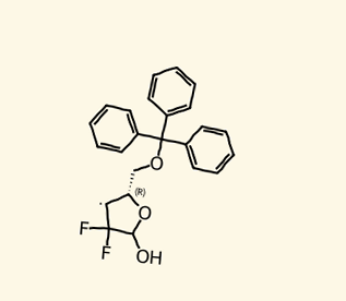 OC1O[C@@H](COC(c2ccccc2)(c2ccccc2)c2ccccc2)[CH]C1(F)F